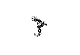 COc1ccc(-c2ccc(C[C@H](NC(=O)c3cccc(-c4ccc(OC)cc4)c3)C(=O)O)cc2)cc1